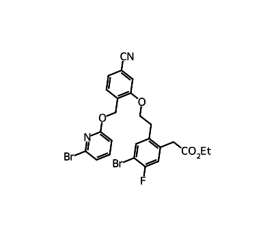 CCOC(=O)Cc1cc(F)c(Br)cc1CCOc1cc(C#N)ccc1COc1cccc(Br)n1